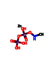 N#CNOP(=O)(O)OP(=O)(O)O.[Zn]